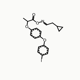 CC(Oc1ccc(Oc2ccc(I)cc2)cc1)C(=O)ON=CCC1CC1